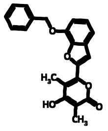 Cc1c(-c2cc3cccc(OCc4ccccc4)c3o2)oc(=O)c(C)c1O